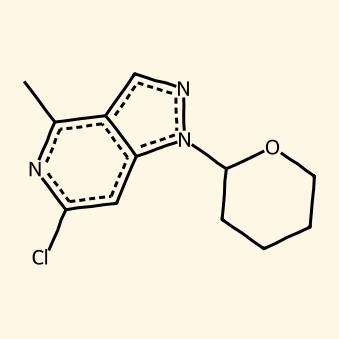 Cc1nc(Cl)cc2c1cnn2C1CCCCO1